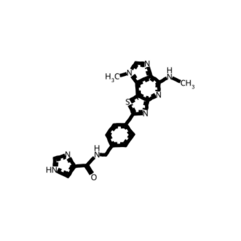 CNc1nc2nc(-c3ccc(CNC(=O)c4c[nH]cn4)cc3)sc2c2c1ncn2C